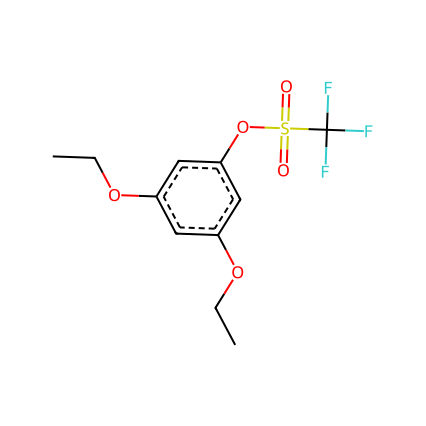 CCOc1cc(OCC)cc(OS(=O)(=O)C(F)(F)F)c1